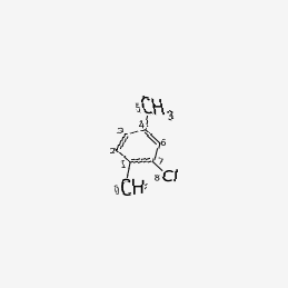 [CH]c1ccc(C)cc1Cl